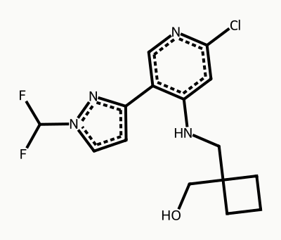 OCC1(CNc2cc(Cl)ncc2-c2ccn(C(F)F)n2)CCC1